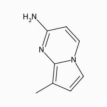 Cc1ccn2ccc(N)nc12